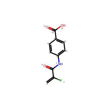 C=C(F)C(=O)Nc1ccc(C(=O)O)cc1